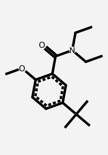 CCN(CC)C(=O)c1cc(C(C)(C)C)ccc1OC